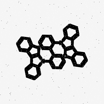 c1ccc(-n2c3ccccc3c3c4ccccc4oc32)c(-c2ccccc2-n2c3ccccc3c3c4ccccc4sc32)c1